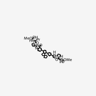 COC(=O)N[C@H](C(=O)N1CCC[C@H]1c1ncc(-c2ccc(-c3ccc(-c4ccc5nc([C@@H]6CCCN6C(=O)[C@@H](NC(O)OC)C(C)C)[nH]c(=O)c5c4)c4c3C3(CCCC3)CC4)cc2)[nH]1)C(C)C